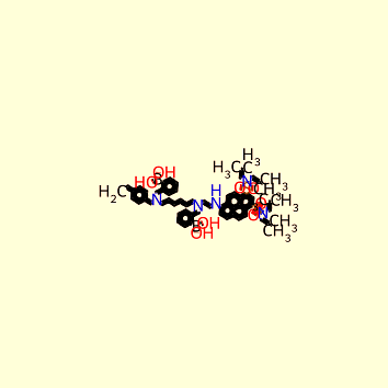 C=Cc1ccc(CN(CCCCCCN(CCNc2ccc3ccc4c(S(=O)(=O)N(CC(C)C)CC(C)C)cc(S(=O)(=O)N(CC(C)C)CC(C)C)c5ccc2c3c45)Cc2ccccc2B(O)O)Cc2ccccc2B(O)O)cc1